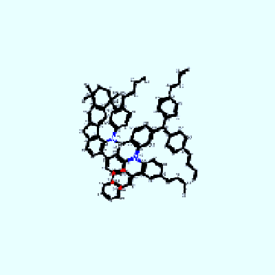 CCCCc1ccc(C(c2ccc(CCCC)cc2)c2ccc3c(c2)N(c2ccc(CCCC)cc2-c2ccccc2)c2cc(-c4ccccc4)cc4c2B3N(c2ccc(CCCC)cc2)c2c-4ccc3c2-c2cc4c(cc2C3)C(C)(C)CCC4(C)C)cc1